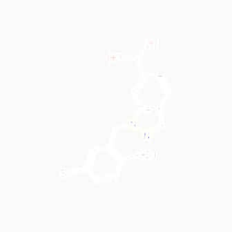 CC(C)COc1ccc(Br)cc1Cn1ncc2ccc(C(O)O)cc21